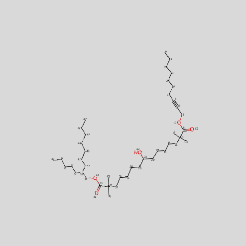 CCCCCCCC#CCOC(=O)C(C)(C)CCCCCC(O)CCCCCC(C)(C)C(=O)OCC(CCCCC)CCCCCCC